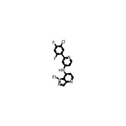 CCn1ncc2nccc(Nc3ccnc(-c4cc(Cl)c(F)cc4F)c3)c21